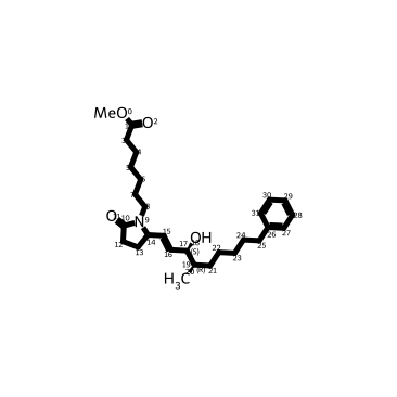 COC(=O)CCCCCCN1C(=O)CCC1C=C[C@@H](O)[C@H](C)CCCCCc1ccccc1